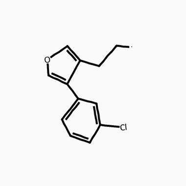 [CH2]CCc1cocc1-c1cccc(Cl)c1